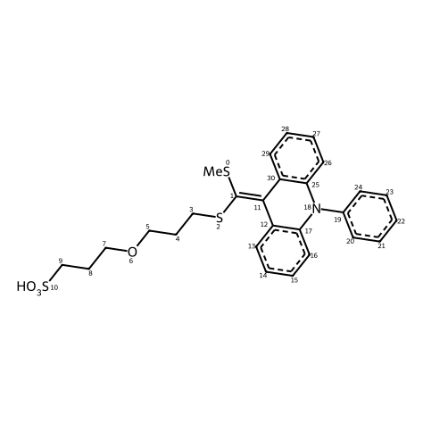 CSC(SCCCOCCCS(=O)(=O)O)=C1c2ccccc2N(c2ccccc2)c2ccccc21